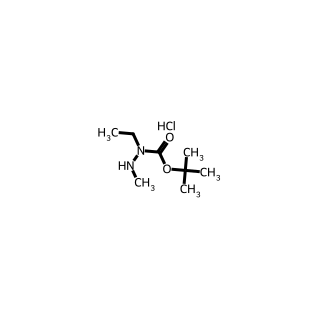 CCN(NC)C(=O)OC(C)(C)C.Cl